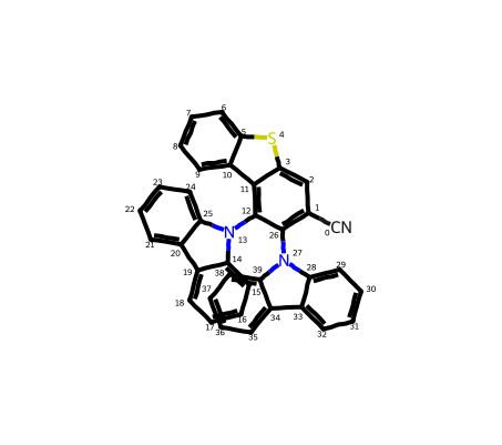 N#Cc1cc2sc3ccccc3c2c(-n2c3ccccc3c3ccccc32)c1-n1c2ccccc2c2ccccc21